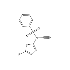 N#CN(c1ncc(F)s1)S(=O)(=O)c1ccccc1